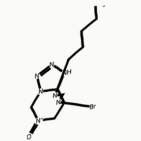 CCCCCN1CN(Br)C2C[N+](=O)CN3N=NNC213